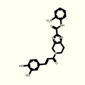 Nc1ccccc1NC(=O)c1nc2c(s1)CN(C(=O)C=Cc1ccc(O)c(O)c1)CC2